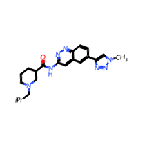 CC(C)CN1CCCC(C(=O)Nc2cc3cc(-c4cn(C)nn4)ccc3nn2)C1